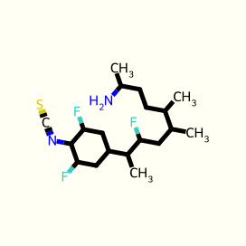 CC(N)CCC(C)C(C)CC(F)C(C)C1CC(F)C(N=C=S)C(F)C1